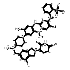 Cc1cc(Nc2ncc(Cl)c(Nc3ccccc3S(=O)(=O)C(C)C)n2)c(OC(C)C)cc1N1CCC(N(C)Cc2cc(F)c3c(c2)CN(C2CCC(=O)NC2=O)C3)CC1